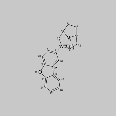 CN1C2CCC1CN(c1ccc3oc4ccccc4c3c1)CC2